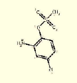 CS(=O)(=O)Oc1ccc(Cl)cc1N